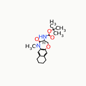 CN1C(=O)[C@@H](NC(=O)OC(C)(C)C)COc2cc3c(cc21)CCCC3